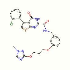 Cn1cnc(OCCCOc2cccc(CNC(=O)c3nc4scc(-c5ccccc5Cl)c4c(=O)[nH]3)c2)n1